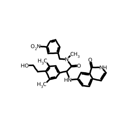 Cc1cc(C(Nc2ccc3cc[nH]c(=O)c3c2)C(=O)N(C)Cc2cccc([N+](=O)[O-])c2)cc(C)c1CCO